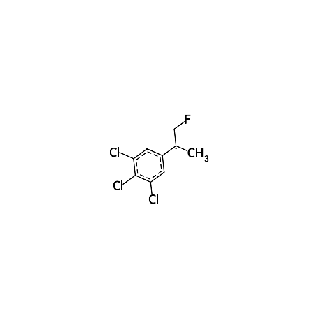 C[C](CF)c1cc(Cl)c(Cl)c(Cl)c1